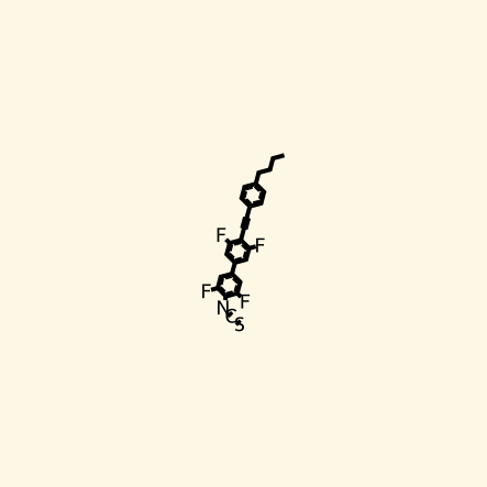 CCCCc1ccc(C#Cc2c(F)cc(-c3cc(F)c(N=C=S)c(F)c3)cc2F)cc1